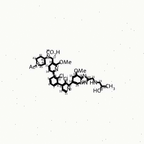 COc1nc(-c2cccc(-c3ccnc(-c4cc(OC)c5nc(CNCC(C)O)nn5c4)c3Cl)c2Cl)ccc1CN(C(=O)O)C1CCN(C(C)=O)CC1